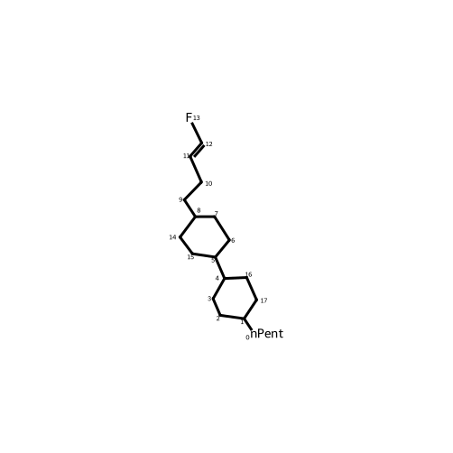 CCCCCC1CCC(C2CCC(CCC=CF)CC2)CC1